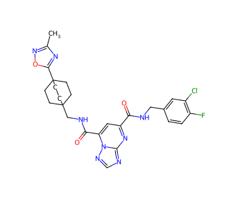 Cc1noc(C23CCC(CNC(=O)c4cc(C(=O)NCc5ccc(F)c(Cl)c5)nc5ncnn45)(CC2)CC3)n1